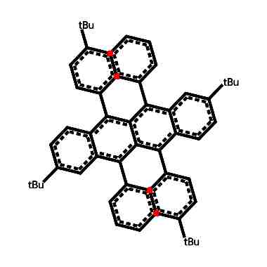 CC(C)(C)c1ccc(-c2c3ccc(C(C)(C)C)cc3c(-c3ccccc3)c3c(-c4ccc(C(C)(C)C)cc4)c4ccc(C(C)(C)C)cc4c(-c4ccccc4)c23)cc1